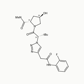 CNC(=O)[C@@H]1C[C@@H](O)CN1C(=O)[C@@H](n1cc(CC(=O)Nc2ccccc2F)nn1)C(C)(C)C